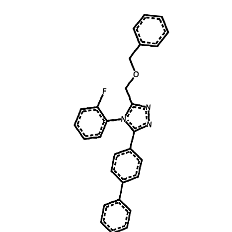 Fc1ccccc1-n1c(COCc2ccccc2)nnc1-c1ccc(-c2ccccc2)cc1